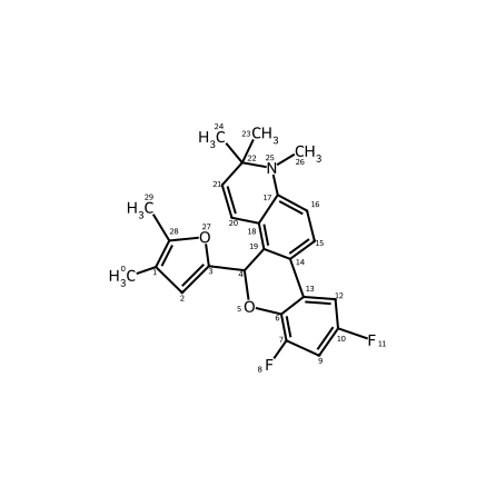 Cc1cc(C2Oc3c(F)cc(F)cc3-c3ccc4c(c32)C=CC(C)(C)N4C)oc1C